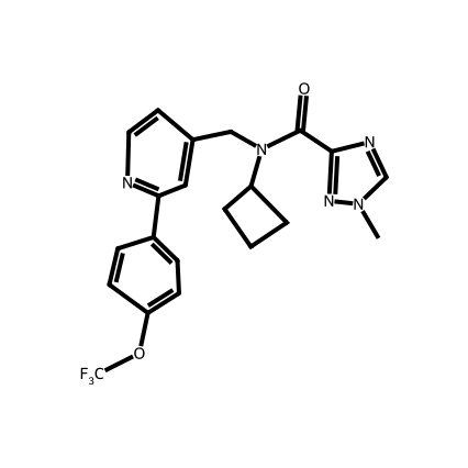 Cn1cnc(C(=O)N(Cc2ccnc(-c3ccc(OC(F)(F)F)cc3)c2)C2CCC2)n1